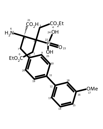 CCOC(=O)CC(CC(=O)OCC)([C@](N)(Cc1ccc(-c2cccc(OC)c2)cc1)C(=O)O)P(=O)(O)O